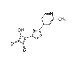 CC1=CC(c2ccc(-c3c(O)c(=O)c3=O)s2)CC=N1